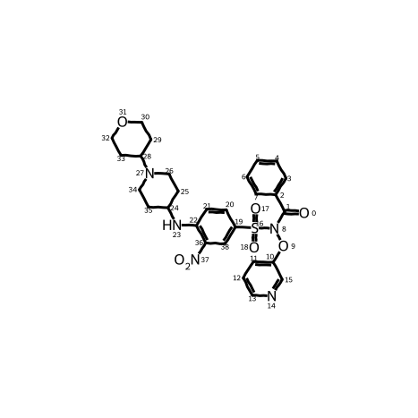 O=C(c1ccccc1)N(Oc1cccnc1)S(=O)(=O)c1ccc(NC2CCN(C3CCOCC3)CC2)c([N+](=O)[O-])c1